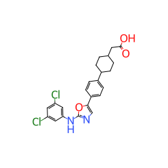 O=C(O)CC1CCC(c2ccc(-c3cnc(Nc4cc(Cl)cc(Cl)c4)o3)cc2)CC1